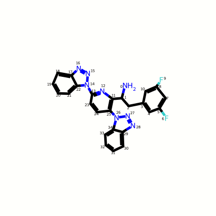 NC(Cc1cc(F)cc(F)c1)c1nc(-n2nnc3ccccc32)ccc1-n1nnc2ccccc21